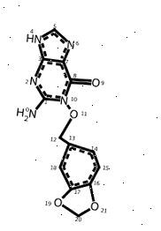 Nc1nc2[nH]cnc2c(=O)n1OCc1ccc2c(c1)OCO2